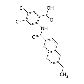 CCc1ccc2cc(C(=O)Nc3cc(Cl)c(Cl)cc3C(=O)O)ccc2c1